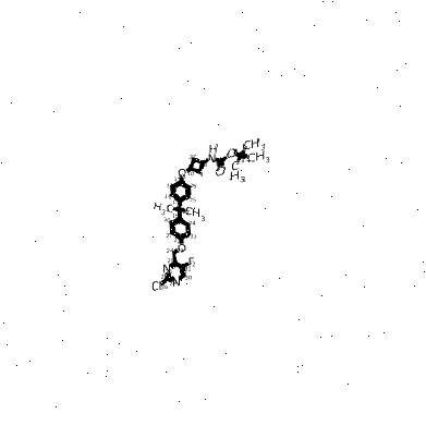 CC(C)(C)OC(=O)NC1CC(Oc2ccc(C(C)(C)c3ccc(OCc4nc(Cl)ncc4F)cc3)cc2)C1